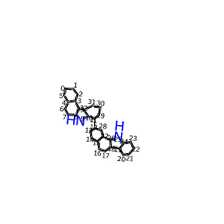 c1ccc2c(c1)ccc1[nH]c3c(-c4ccc5ccc6c7ccccc7[nH]c6c5c4)cccc3c12